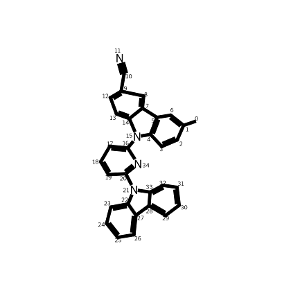 Cc1ccc2c(c1)c1cc(C#N)ccc1n2-c1cccc(-n2c3ccccc3c3ccccc32)n1